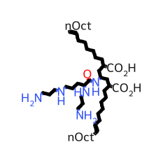 CCCCCCCCC=CCCCCCCC(CC(CC(CCCCCCC=CCCCCCCCC)C(=O)O)NC(=O)C(CCCNCCCN)NCCCN)C(=O)O